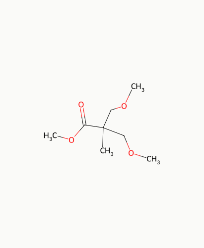 COCC(C)(COC)C(=O)OC